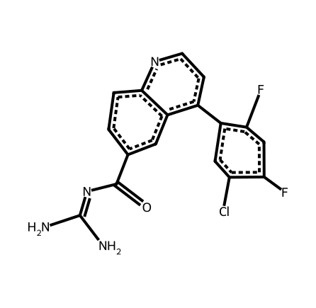 NC(N)=NC(=O)c1ccc2nccc(-c3cc(Cl)c(F)cc3F)c2c1